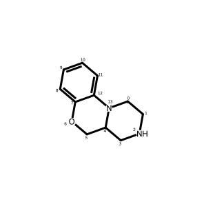 [CH]1CNCC2COc3ccccc3N12